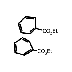 CCOC(=O)c1ccccc1.CCOC(=O)c1ccccc1